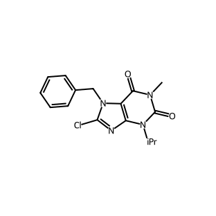 CC(C)n1c(=O)n(C)c(=O)c2c1nc(Cl)n2Cc1ccccc1